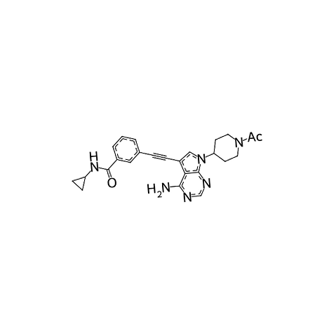 CC(=O)N1CCC(n2cc(C#Cc3cccc(C(=O)NC4CC4)c3)c3c(N)ncnc32)CC1